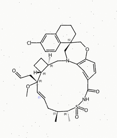 CO[C@@]1(CC=O)/C=C/C[C@H](C)[C@@H](C)S(=O)(=O)NC(=O)c2ccc3c(c2)N(C[C@@H]2CC[C@H]21)C[C@@]1(CCCc2cc(Cl)ccc21)CO3